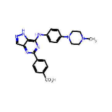 CN1CCN(c2ccc(Nc3nc(-c4ccc(C(=O)O)cc4)nc4cn[nH]c34)cc2)CC1